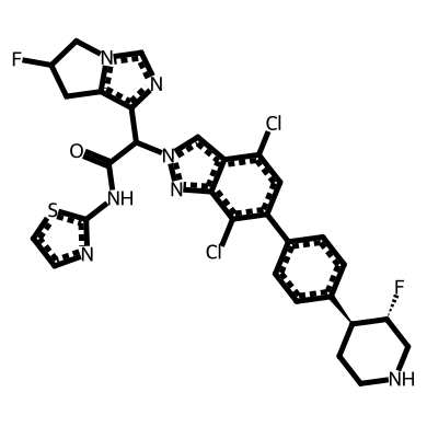 O=C(Nc1nccs1)C(c1ncn2c1CC(F)C2)n1cc2c(Cl)cc(-c3ccc([C@@H]4CCNC[C@H]4F)cc3)c(Cl)c2n1